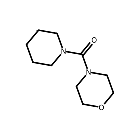 O=C(N1C[CH]CCC1)N1CCOCC1